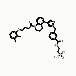 Cc1cccc(OCCCC(=O)N2CCCc3c(-c4cnn(Cc5cccc(C(=O)NCCP(=O)(O)O)c5)c4)cccc32)c1C